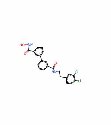 O=C(NO)c1cccc(-c2cccc(C(=O)NCCc3ccc(Cl)c(Cl)c3)c2)c1